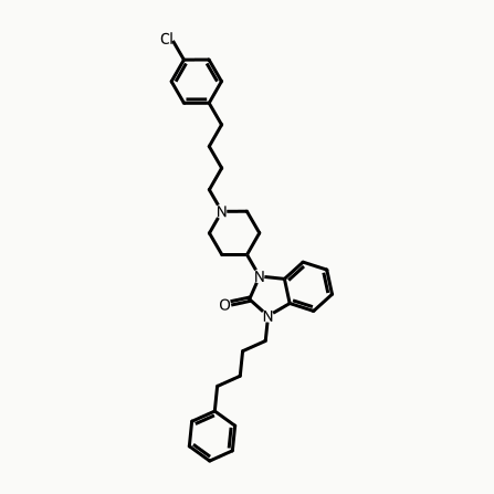 O=c1n(CCCCc2ccccc2)c2ccccc2n1C1CCN(CCCCc2ccc(Cl)cc2)CC1